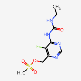 CCNC(=O)Nc1ncnc(COS(C)(=O)=O)c1F